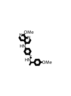 COc1ccc(C(C)NSc2ccc(Nc3ccnc4c(OC)nccc34)cc2)cc1